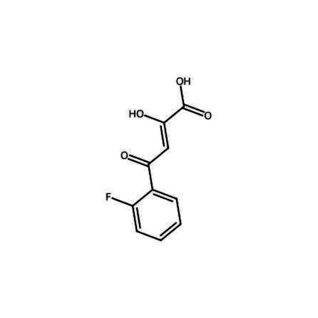 O=C(O)/C(O)=C/C(=O)c1ccccc1F